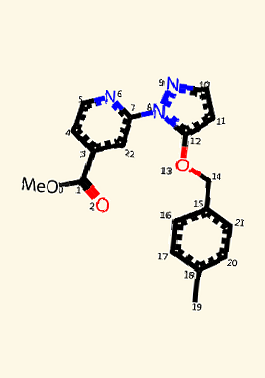 COC(=O)c1ccnc(-n2nccc2OCc2ccc(C)cc2)c1